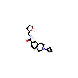 O=C(NCC1CCCO1)c1ccc2c(c1)CCN(C1=CC=C1)CC2